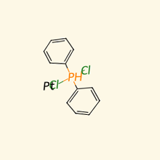 Cl[PH](Cl)(c1ccccc1)c1ccccc1.[Pt]